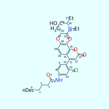 CCCCCCCCCCCCCC(=O)Nc1ccc(-c2cc(=O)oc3cc(O[C@H](C)C(=O)N(CC)C(CC)C(=O)O)ccc23)c(Cl)c1